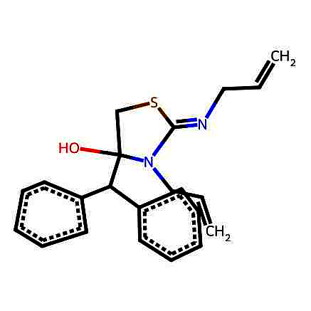 C=CCN=C1SCC(O)(C(c2ccccc2)c2ccccc2)N1CC=C